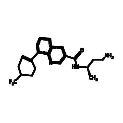 C[C@H](CCN)NC(=O)c1cnc2c(C3=CCC(C(F)(F)F)CC3)cccc2c1